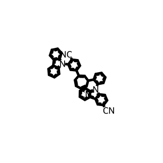 N#CC1=CC(c2ccccc2-n2c3ccccc3c3cc(C#N)ccc32)C=C(c2ccc(C#N)c(-n3c4ccccc4c4ccccc43)c2)C=C1